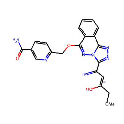 COC/C(O)=C/C(=N)c1nnc2c3ccccc3c(OCc3ccc(C(N)=O)cn3)nn12